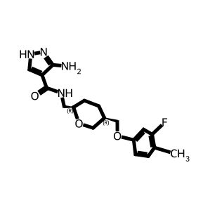 Cc1ccc(OC[C@@H]2CC[C@H](CNC(=O)c3c[nH]nc3N)OC2)cc1F